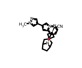 Cn1cc(-c2cc3c(N4CC5CCC(C4)N5[C@H]4C[C@H](CC#N)C4)ccnn3c2)cn1